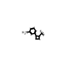 Nc1cccc(C2CCC2C(F)F)c1